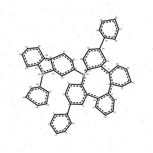 c1ccc(-c2ccc3c(c2)c2ccccc2c2ccccc2c2cc(-c4ccccc4)ccc2n3-c2ccc3c4ccccc4n(-c4ccccc4)c3c2)cc1